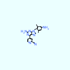 Cc1cc(N)cc(C)c1Cn1cnc2c(-c3ccnc(C#N)c3)nc(N)nc21